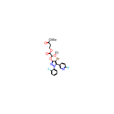 CCO[C@H](Oc1nn(-c2ccccc2F)c(-c2ccc(F)nc2)c1Br)C(=O)OCCC(=O)OC